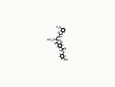 O=C(Cc1cccc(C(F)(F)F)c1)NC[C@H](NC(=O)c1ccc(C(=O)NCc2cccc(O)c2)cc1Cl)C(=O)O